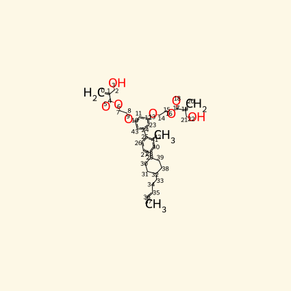 C=C(CO)C(=O)OCCOc1cc(OCCOC(=O)C(=C)CO)cc(-c2ccc(C3CCC(CC/C=C/C)CC3)cc2C)c1